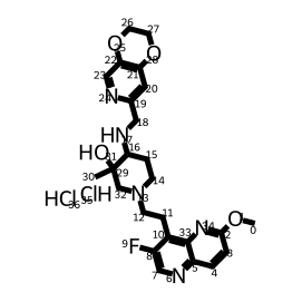 COc1ccc2ncc(F)c(CCN3CCC(NCc4cc5c(cn4)OCCO5)C(C)(O)C3)c2n1.Cl.Cl